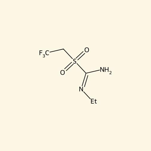 CC/N=C(\N)S(=O)(=O)CC(F)(F)F